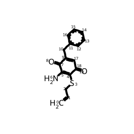 C=CCSC1=C(N)C(=O)C(Cc2ccccc2)=CC1=O